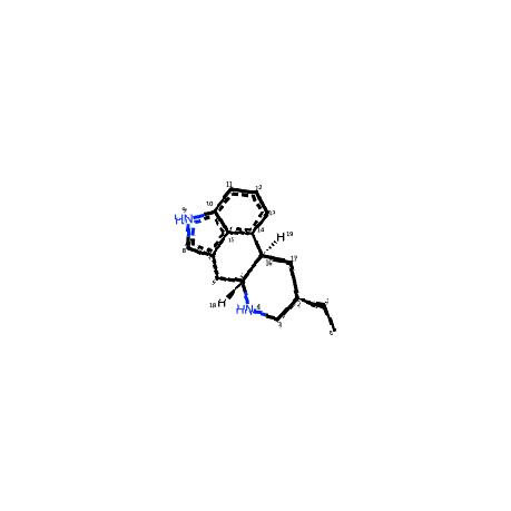 CC[C@H]1CN[C@@H]2Cc3c[nH]c4cccc(c34)[C@H]2C1